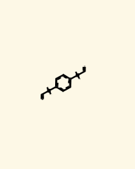 C=CC(F)(F)c1ccc(C(F)(F)C=C)cc1